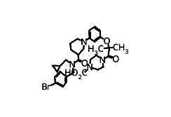 CC(C)(Oc1cccc(N2CCCC(C(=O)N(Cc3ccc(Br)cc3)CC3CC3)C2)c1)C(=O)N1CCN(C(=O)O)CC1